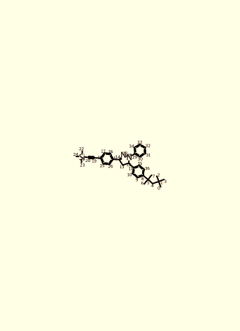 CC(C)(C)CC(C)(C)c1ccc(C2CC(c3ccc(C#C[Si](C)(C)C)cc3)=NN2c2ccccc2)cc1